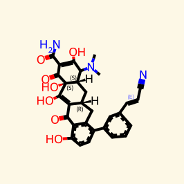 CN(C)C1C(O)=C(C(N)=O)C(=O)[C@@]2(O)C(O)=C3C(=O)c4c(O)ccc(-c5cccc(/C=C/C#N)c5)c4C[C@H]3C[C@@H]12